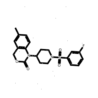 Cc1ccc2c(c1)COC(=O)N2C1CCN(S(=O)(=O)c2cccc(F)c2)CC1